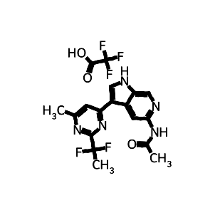 CC(=O)Nc1cc2c(-c3cc(C)nc(C(C)(F)F)n3)c[nH]c2cn1.O=C(O)C(F)(F)F